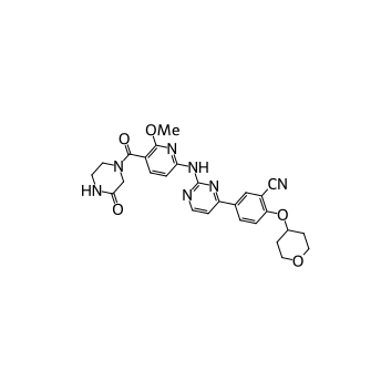 COc1nc(Nc2nccc(-c3ccc(OC4CCOCC4)c(C#N)c3)n2)ccc1C(=O)N1CCNC(=O)C1